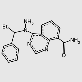 CCC(c1ccccc1)N(N)c1ncnc2c(C(N)=O)cccc12